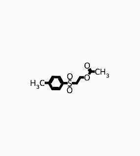 CC(=O)OCCS(=O)(=O)c1ccc(C)cc1